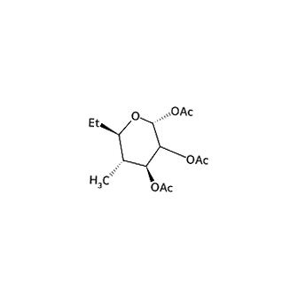 CC[C@H]1O[C@H](OC(C)=O)C(OC(C)=O)[C@@H](OC(C)=O)[C@@H]1C